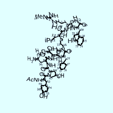 CNC(=N)NCCC[C@H](NC(=O)[C@H](CC(C)C)SCCNC(=O)[C@H](Cc1ccccc1)NC(=O)[C@@H](NC(=O)[C@H](CC(N)=O)NC(=O)[C@@H]1C[C@@H](O)CN1C(=O)[C@@H](Cc1ccc(O)cc1)NC(C)=O)[C@@H](C)O)C(=O)N[C@@H](Cc1c[nH]c2ccccc12)C(N)=O